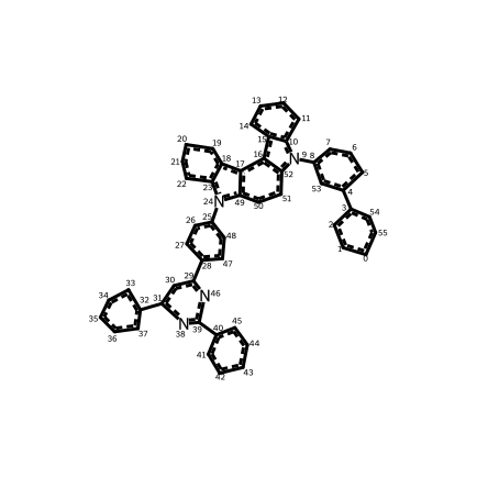 c1ccc(-c2cccc(-n3c4ccccc4c4c5c6ccccc6n(-c6ccc(-c7cc(-c8ccccc8)nc(-c8ccccc8)n7)cc6)c5ccc43)c2)cc1